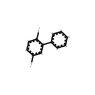 Ic1ccc(I)c(-c2ccccc2)c1